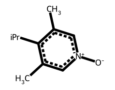 Cc1c[n+]([O-])cc(C)c1C(C)C